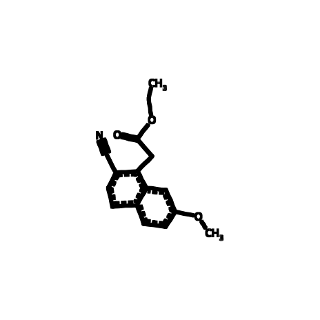 CCOC(=O)Cc1c(C#N)ccc2ccc(OC)cc12